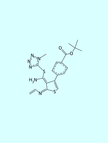 C=C/N=C1/SC=C(c2ccc(C(=O)OC(C)(C)C)cc2)/C1=C(/N)Sc1nnnn1C